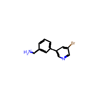 NCc1cccc(-c2cncc(Br)c2)c1